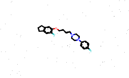 Fc1ccc(N2CCN(CCCCOc3cc4c(cc3F)CCC4)CC2)cc1